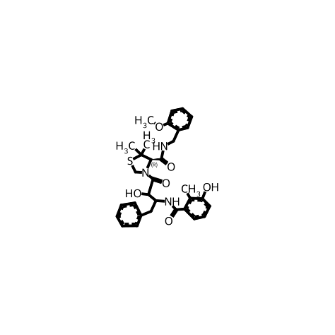 COc1ccccc1CNC(=O)[C@H]1N(C(=O)C(O)C(Cc2ccccc2)NC(=O)c2cccc(O)c2C)CSC1(C)C